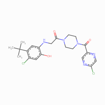 CC(C)(C)c1cc(NCC(=O)N2CCN(C(=O)c3cnc(Cl)cn3)CC2)c(O)cc1Cl